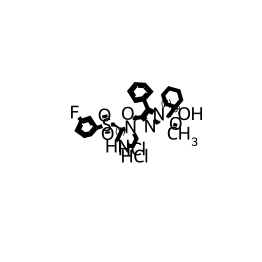 COC[C@]1(O)CCCC[C@H]1n1cnc(C(=O)N2CCNC[C@H]2CS(=O)(=O)c2cccc(F)c2)c1-c1ccccc1.Cl.Cl